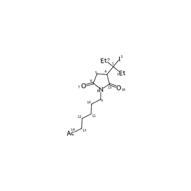 CCC(I)(CC)C1CC(=O)N(CCCCCC(C)=O)C1=O